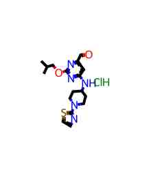 CC(C)COc1nc(C=O)cc(NC2CCN(c3nccs3)CC2)n1.Cl